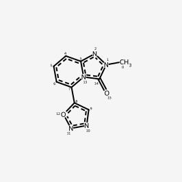 Cn1nc2cccc(-c3cnno3)n2c1=O